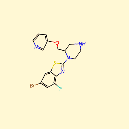 Fc1cc(Br)cc2sc(N3CCNCC3COc3cccnc3)nc12